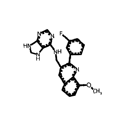 COc1cccc2cc(CNc3ncnc4c3NCN4)c(-c3cccc(F)c3)nc12